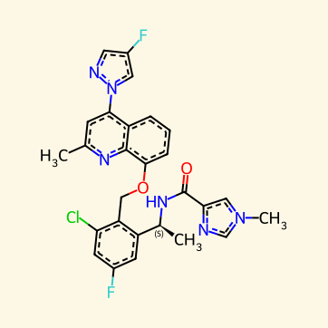 Cc1cc(-n2cc(F)cn2)c2cccc(OCc3c(Cl)cc(F)cc3[C@H](C)NC(=O)c3cn(C)cn3)c2n1